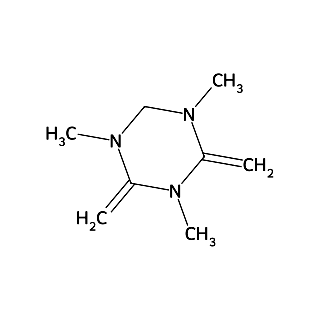 C=C1N(C)CN(C)C(=C)N1C